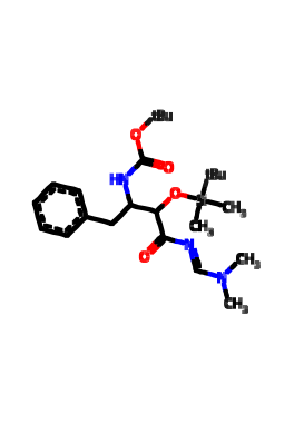 CN(C)/C=N/C(=O)C(O[Si](C)(C)C(C)(C)C)C(Cc1ccccc1)NC(=O)OC(C)(C)C